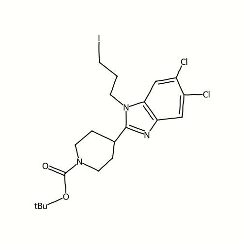 CC(C)(C)OC(=O)N1CCC(c2nc3cc(Cl)c(Cl)cc3n2CCCI)CC1